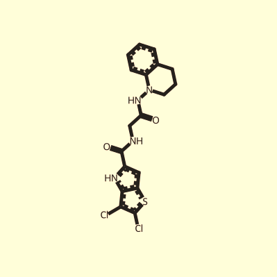 O=C(CNC(=O)c1cc2sc(Cl)c(Cl)c2[nH]1)NN1CCCc2ccccc21